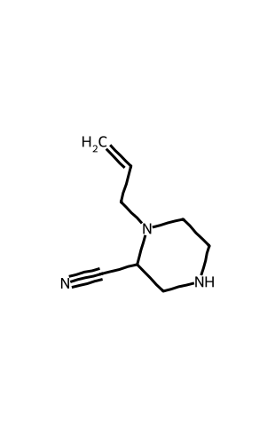 C=CCN1CCNCC1C#N